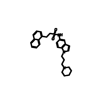 O=S(=O)(CCc1cccc2ccccc12)Nc1ccc2c(ccn2CCCN2CCCCC2)c1